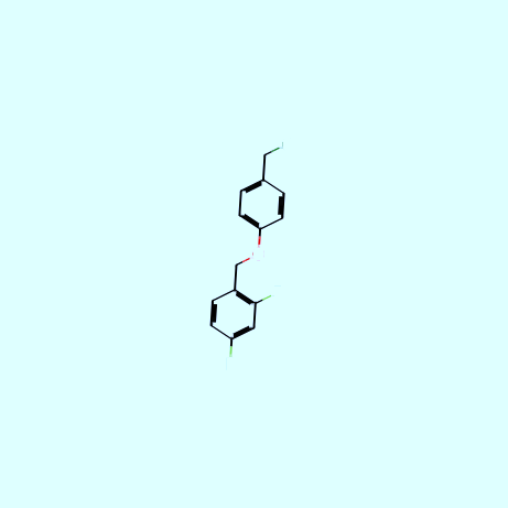 Fc1ccc(COc2ccc(CCl)cc2)c(F)c1